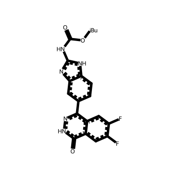 CCC(C)OC(=O)Nc1nc2cc(-c3n[nH]c(=O)c4cc(F)c(F)cc34)ccc2[nH]1